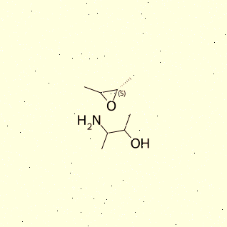 CC(N)C(C)O.CC1O[C@H]1C